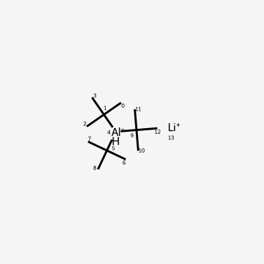 C[C](C)(C)[AlH-]([C](C)(C)C)[C](C)(C)C.[Li+]